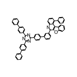 c1ccc(-c2ccc(-c3nc(-c4ccc(-c5ccccc5)cc4)nc(-c4ccc(-c5cccc(-c6nc7cccc(-c8ccccc8)c7c7c6oc6ccccc67)c5)cc4)n3)cc2)cc1